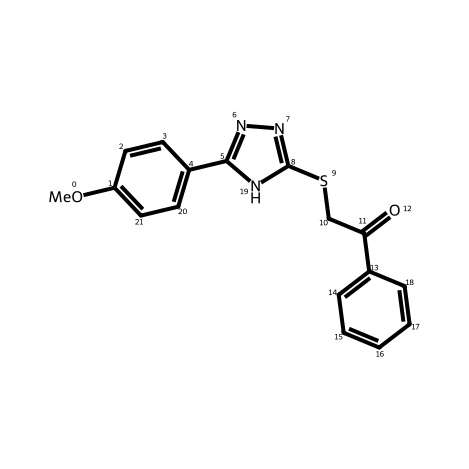 COc1ccc(-c2nnc(SCC(=O)c3ccccc3)[nH]2)cc1